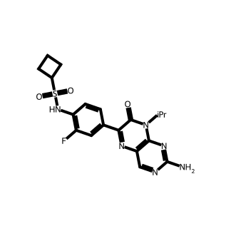 CC(C)n1c(=O)c(-c2ccc(NS(=O)(=O)C3CCC3)c(F)c2)nc2cnc(N)nc21